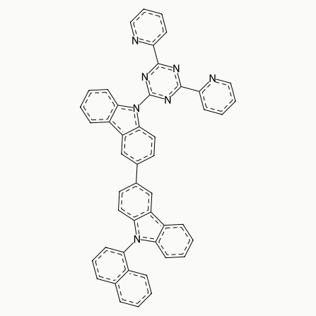 c1ccc(-c2nc(-c3ccccn3)nc(-n3c4ccccc4c4cc(-c5ccc6c(c5)c5ccccc5n6-c5cccc6ccccc56)ccc43)n2)nc1